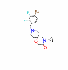 O=C1COC2(CCN(Cc3ccc(Br)c(F)c3F)CC2)CN1C1CC1